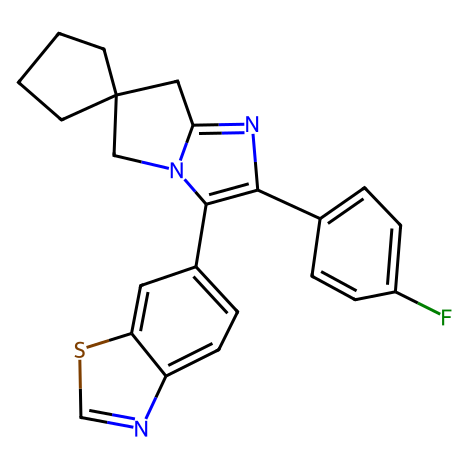 Fc1ccc(-c2nc3n(c2-c2ccc4ncsc4c2)CC2(CCCC2)C3)cc1